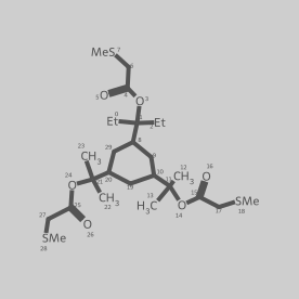 CCC(CC)(OC(=O)CSC)C1CC(C(C)(C)OC(=O)CSC)CC(C(C)(C)OC(=O)CSC)C1